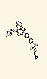 O=C(Nc1ccc(-c2ccc(S(=O)(=O)N3C(C(=O)NO)C[C@H]4CCC[C@H]43)cc2)cc1)OCC1CC1